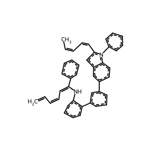 C=C/C=C\C=C(/Nc1ccccc1-c1cccc(-c2ccc3c(c2)cc(/C=C\C=C/C)n3-c2ccccc2)c1)c1ccccc1